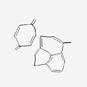 Brc1ccc2c3c(cccc13)CC2.O=C1C=CC(=O)C=C1